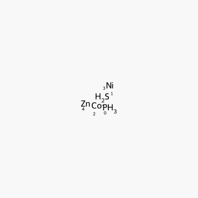 P.S.[Co].[Ni].[Zn]